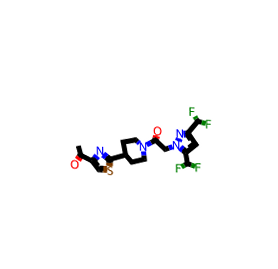 CC(=O)c1csc(C2CCN(C(=O)Cn3nc(C(F)F)cc3C(F)F)CC2)n1